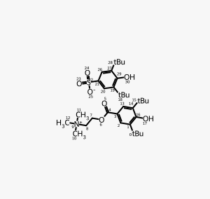 CC(C)(C)c1cc(C(=O)OCC[N+](C)(C)C)cc(C(C)(C)C)c1O.CC(C)(C)c1cc(S(=O)(=O)[O-])cc(C(C)(C)C)c1O